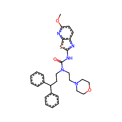 COc1ccc2nc(NC(=O)N(CCC(c3ccccc3)c3ccccc3)CCN3CCOCC3)sc2n1